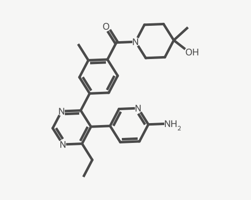 CCc1ncnc(-c2ccc(C(=O)N3CCC(C)(O)CC3)c(C)c2)c1-c1ccc(N)nc1